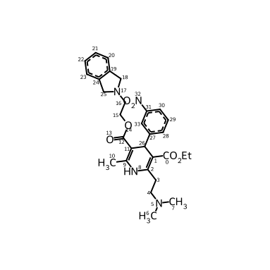 CCOC(=O)C1=C(CCN(C)C)NC(C)=C(C(=O)OCCN2Cc3ccccc3C2)C1c1cccc([N+](=O)[O-])c1